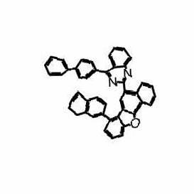 C1=Cc2ccc(-c3cccc4oc5c6ccccc6c(-c6nc(-c7ccc(-c8ccccc8)cc7)c7ccccc7n6)cc5c34)cc2CC1